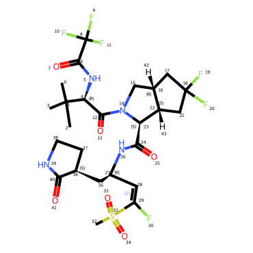 CC(C)(C)[C@@H](NC(=O)C(F)(F)F)C(=O)N1C[C@@H]2CC(F)(F)C[C@@H]2[C@H]1C(=O)N[C@@H](/C=C(/F)S(C)(=O)=O)C[C@@H]1CCNC1=O